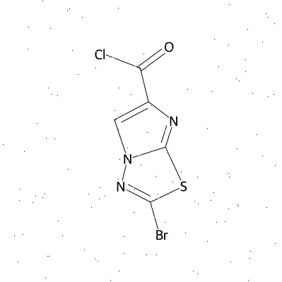 O=C(Cl)c1cn2nc(Br)sc2n1